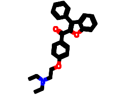 CCN(CC)CCOc1ccc(C(=O)c2oc3ccccc3c2-c2ccccc2)cc1